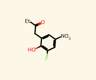 CCC(=O)Cc1cc([N+](=O)[O-])cc(F)c1O